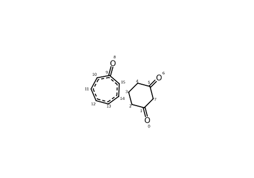 O=C1CCCC(=O)C1.O=c1cccccc1